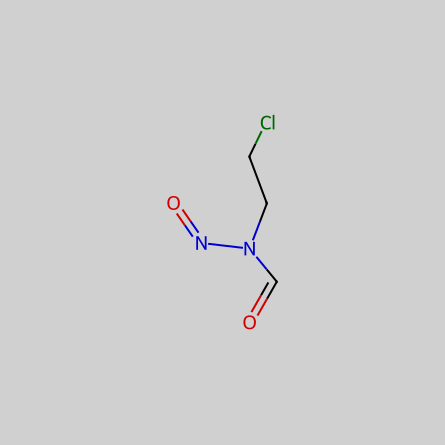 O=CN(CCCl)N=O